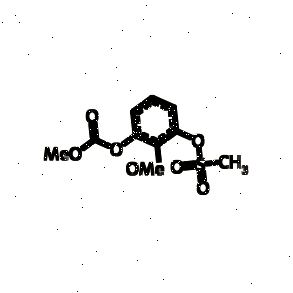 COC(=O)Oc1cccc(OS(C)(=O)=O)c1OC